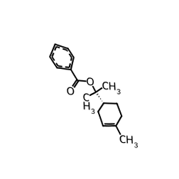 CC1=CC[C@H](C(C)(C)OC(=O)c2ccccc2)CC1